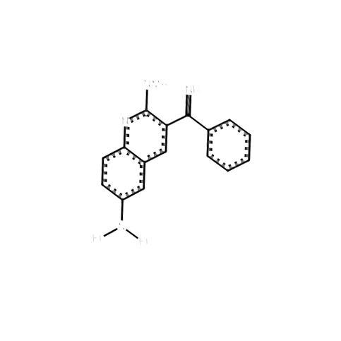 CCN(CC)c1ccc2nc(NC)c(C(=N)c3ccccc3)cc2c1